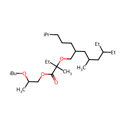 CCC(CC)CC(C)CC(CCCC(C)C)COC(C)(CC)C(=O)OCC(C)OC(C)CC